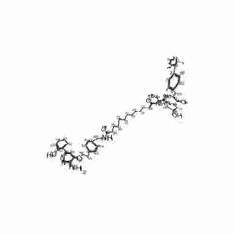 Cc1ncsc1-c1ccc(CNC(=O)[C@@H]2C[C@@H](O)CN2C(=O)[C@@H](NC(=O)CCCCCCCCCCCC(=O)NCc2ccc(CCOc3cc(-c4ccccc4O)nnc3N)cc2)C(C)(C)C)cc1